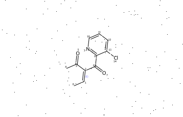 C/C=C(\C(C)=O)C(=O)c1ncccc1Cl